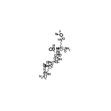 CC[C@H](C)[C@@H](CCC(=O)N[C@@H](CC(C)C)C(N)=O)NC(=O)[C@H](Cc1c[nH]cn1)NC(=O)CNC(=O)[C@@H](NC(=O)[C@H](C)NC(=O)[C@H](Cc1c[nH]c2ccccc12)NC(=O)[C@H](CCC(N)=O)NC(=O)CCCCNC(=O)c1ccc(F)c(C#N)c1)C(C)C